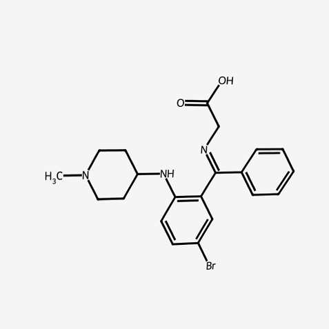 CN1CCC(Nc2ccc(Br)cc2C(=NCC(=O)O)c2ccccc2)CC1